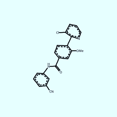 COc1cc(C(=O)Nc2cccc(C#N)c2)ccc1-c1ncccc1Cl